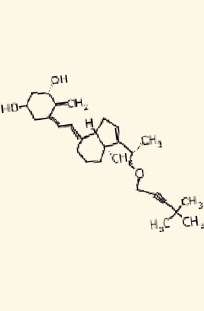 C=C1/C(=C\C=C2/CCC[C@]3(C)C([C@H](C)COCC#CC(C)(C)C)=CC[C@@H]23)C[C@@H](O)C[C@@H]1O